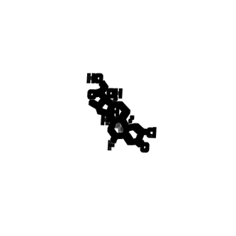 CC1C[C@H]2[C@@H]3CC(F)C4=CC(=O)C(Cl)=C[C@]4(C)C3=CC[C@]2(C)[C@@]1(O)C(=O)CO